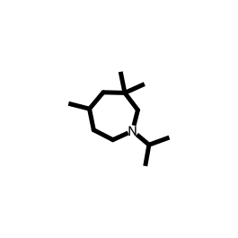 CC1CCN(C(C)C)CC(C)(C)C1